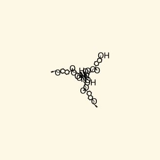 C#CCOc1ccc2cc(C(=O)OCC(O)Cn3c(=O)n(CC(O)COC(=O)c4ccc5cc(O)ccc5c4)c(=O)n(CC(O)COC(=O)c4ccc5cc(OCC#C)ccc5c4)c3=O)ccc2c1